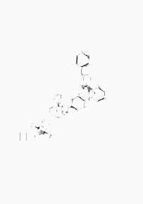 CS(=O)(=O)OC[C@H]1CN(C2=CCC(C3C=CC=CN3C(=O)OCc3ccccc3)=CC2)C(=O)O1